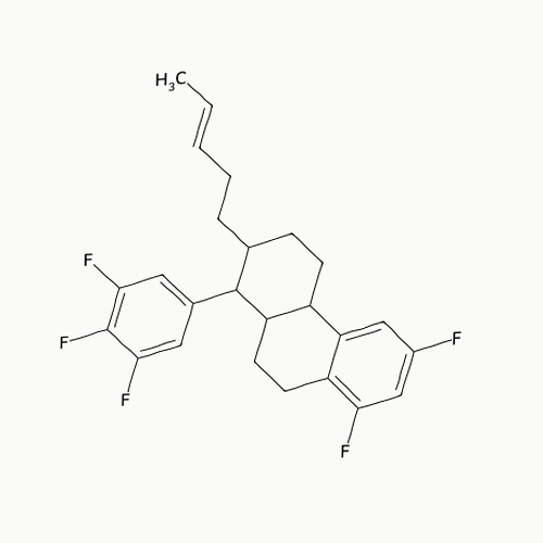 CC=CCCC1CCC2c3cc(F)cc(F)c3CCC2C1c1cc(F)c(F)c(F)c1